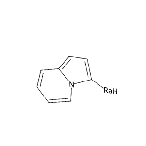 [RaH][c]1ccc2ccccn12